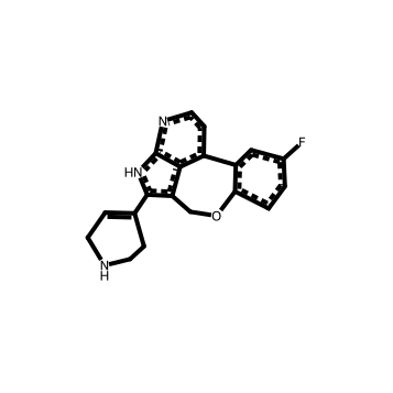 Fc1ccc2c(c1)-c1ccnc3[nH]c(C4=CCNCC4)c(c13)CO2